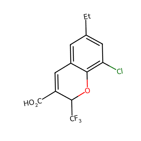 CCc1cc(Cl)c2c(c1)C=C(C(=O)O)C(C(F)(F)F)O2